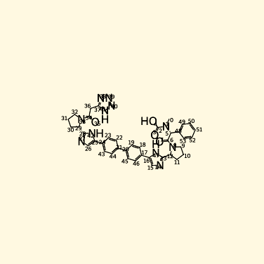 CN(C(=O)O)[C@@H](C(=O)N1CCC[C@H]1c1ncc(-c2ccc(-c3ccc(-c4cnc([C@@H]5CCCN5C(=O)Cc5nnn[nH]5)[nH]4)cc3)cc2)[nH]1)c1ccccc1